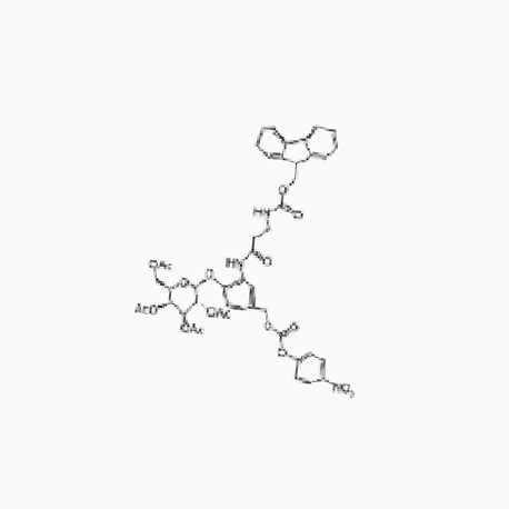 CC(=O)OC[C@H]1O[C@@H](Oc2ccc(COC(=O)Oc3ccc([N+](=O)[O-])cc3)cc2NC(=O)CCNC(=O)OCC2c3ccccc3-c3ccccc32)[C@H](OC(C)=O)[C@@H](OC(C)=O)[C@H]1OC(C)=O